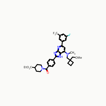 CCOC(=O)C1CCN(C(=O)c2ccc(-c3nc4nc(-c5cc(F)cc(C(F)(F)F)c5)cc(N(C)CC5(COC)CCC5)c4[nH]3)cc2)CC1